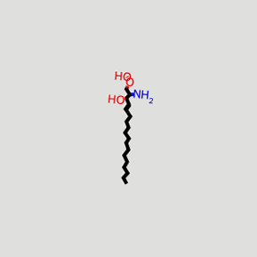 CCCCCCCCCCCCCC=CC(O)C(N)COO